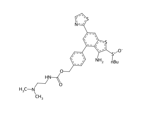 CCCC[S+]([O-])c1sc2cc(-c3nccs3)cc(-c3ccc(COC(=O)NCCN(C)C)cc3)c2c1N